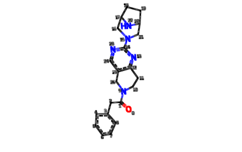 O=C(Cc1ccccc1)N1CCc2nc(N3CC4CCC(C3)N4)ncc2C1